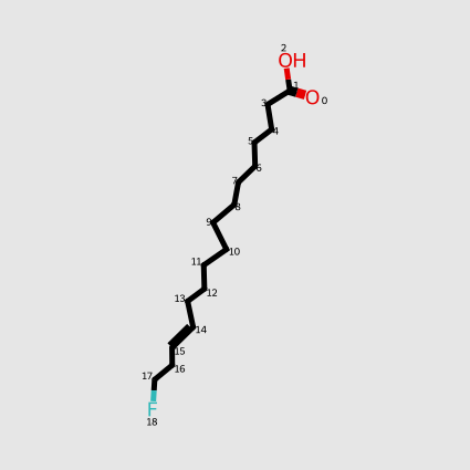 O=C(O)CCCCCCCCCCCC=CCCF